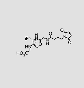 CC(C)[C@H](NC(=O)CNC(=O)CCCN1C(=O)C=CC1=O)C(=O)NCC(=O)O